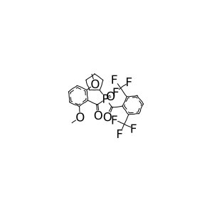 COc1cccc(OC)c1C(=O)P(=O)(C(=O)c1c(C(F)(F)F)cccc1C(F)(F)F)C1CCCC1